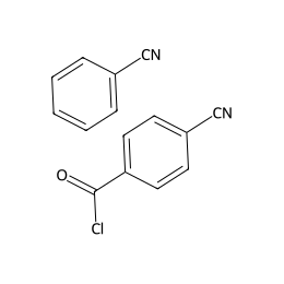 N#Cc1ccc(C(=O)Cl)cc1.N#Cc1ccccc1